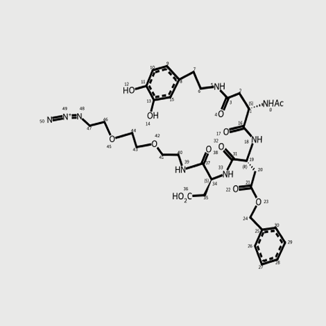 CC(=O)N[C@@H](CC(=O)NCCc1ccc(O)c(O)c1)C(=O)N[C@H](CC(=O)OCc1ccccc1)C(=O)N[C@@H](CC(=O)O)C(=O)NCCOCCOCCN=[N+]=[N-]